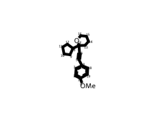 COc1ccc(C#CC2(C3CCCC3)CCCCO2)cc1